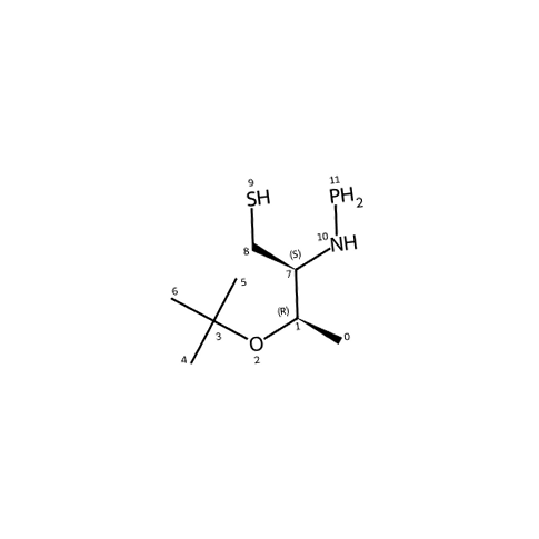 C[C@@H](OC(C)(C)C)[C@@H](CS)NP